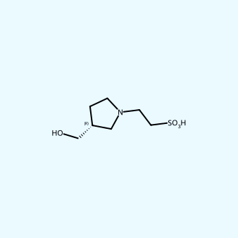 O=S(=O)(O)CCN1CC[C@@H](CO)C1